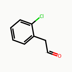 O=[C]Cc1ccccc1Cl